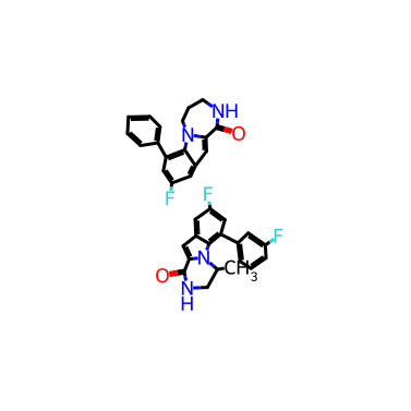 CC1CNC(=O)c2cc3cc(F)cc(-c4cccc(F)c4)c3n21.O=C1NCCCn2c1cc1cc(F)cc(-c3ccccc3)c12